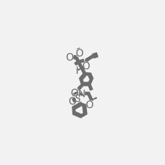 C#CCO[C@](I)(c1ccc(C)c(CN2C[C@@H](C)Oc3ccccc3S2(=O)=O)c1)C(C)(C)C(=O)OC